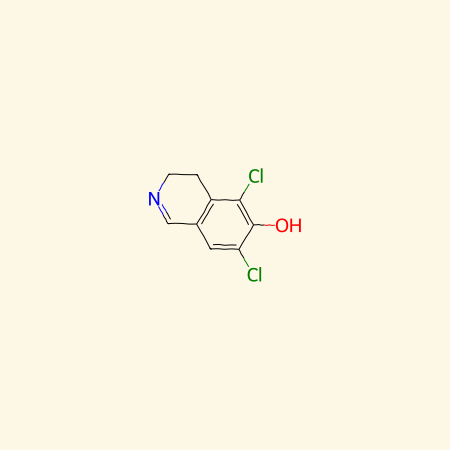 Oc1c(Cl)cc2c(c1Cl)CCN=C2